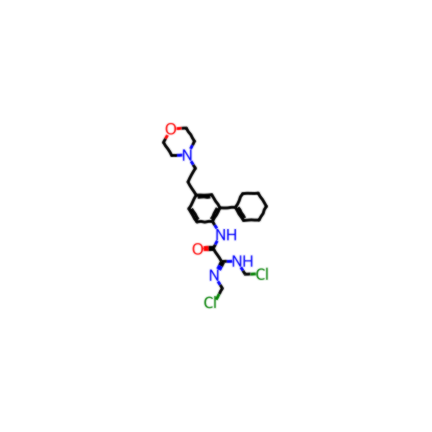 O=C(Nc1ccc(CCN2CCOCC2)cc1C1=CCCCC1)/C(=N/CCl)NCCl